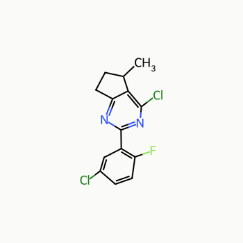 CC1CCc2nc(-c3cc(Cl)ccc3F)nc(Cl)c21